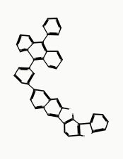 c1ccc(-c2c3ccccc3c(-c3cccc(-c4ccc5cc6c(cc5c4)sc4c6ccc5oc6ccccc6c54)c3)c3ccccc23)cc1